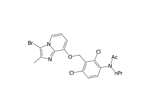 CCCN(C(C)=O)c1ccc(Cl)c(COc2cccn3c(Br)c(C)nc23)c1Cl